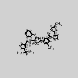 Cc1cc(C(=O)N[C@@H](Cc2ccccc2)[C@H](O)CNCc2cncc(C(C)(C)F)c2)cc(C(=O)N2CCC[C@@H]2c2nc(C)cs2)c1